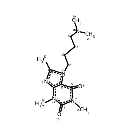 Cc1nc2c(c(=O)n(C)c(=O)n2C)n1CCCCN(C)C